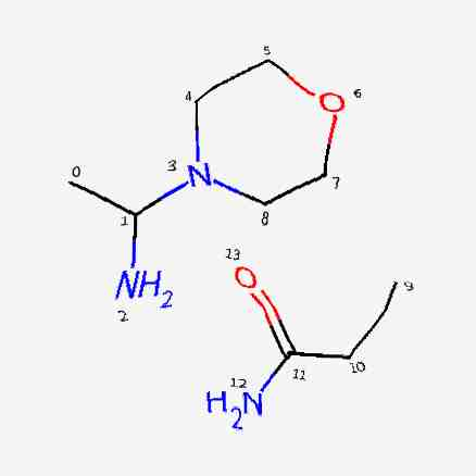 CC(N)N1CCOCC1.CCC(N)=O